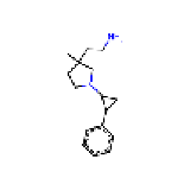 CC1(CCN)CCN(C2CC2c2ccccc2)C1